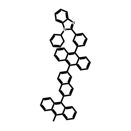 Cc1c2ccccc2c(-c2ccc3cc(-c4c5ccccc5c(-c5cccc(-c6nc7ccccc7n6C6C=CC=CC6)c5)c5ccccc45)ccc3c2)c2ccccc12